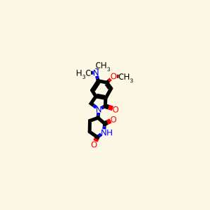 COc1cc2c(cc1N(C)C)CN(C1CCC(=O)NC1=O)C2=O